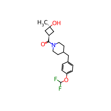 C[C@]1(O)C[C@@H](C(=O)N2CCC(Cc3ccc(OC(F)F)cc3)CC2)C1